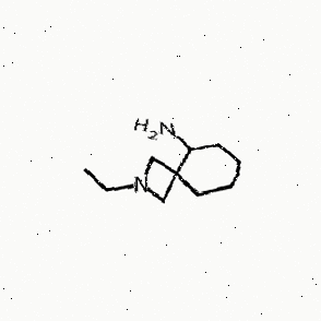 CCN1CC2(CCCCC2N)C1